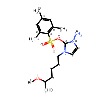 CCOC(C=O)CCCCN1C=CN(N)C1OS(=O)(=O)c1c(C)cc(C)cc1C